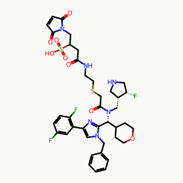 O=C(CC(CN1C(=O)C=CC1=O)S(=O)(=O)O)NCCSCC(=O)N(C[C@@H]1CNC[C@@H]1F)[C@@H](c1nc(-c2cc(F)ccc2F)cn1Cc1ccccc1)C1CCOCC1